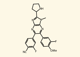 COc1ccc(-c2nc3c(nc2-c2ccc(C#N)c(F)c2)nc(C2CCCN2)n3C)cc1F